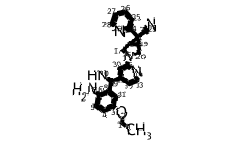 CCOc1ccc(N)c(C(=N)c2ccnc(N3CC4C(C3)C4(C#N)c3ccccn3)c2)c1